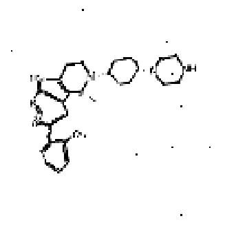 C[C@@H]1c2c([nH]c3nnc(-c4ccccc4O)cc23)CCN1[C@H]1CC[C@@H](N2CCNCC2)CC1